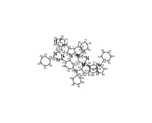 Cc1ccc2c(c1)c1ccccc1n2-c1c(-c2nc(-c3ccccc3)nc(-c3ccccc3)n2)ccc(-n2c3ccccc3c3cc(-c4cccc(-c5ccccc5)n4)ccc32)c1-c1nc(-c2ccccc2)nc(-c2ccccc2)n1